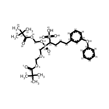 CC(C)(C)C(=O)OCOCP(=O)(OCOC(=O)C(C)(C)C)C(CCCc1cccc(Oc2ccccc2)c1)S(=O)(=O)O